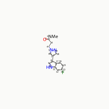 CNC(=O)CCn1cc(-c2c[nH]c3cc(F)ccc23)cn1